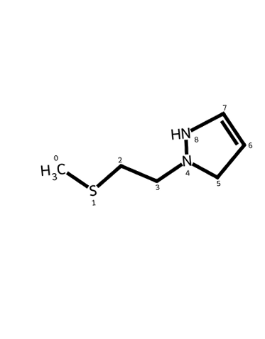 CSCCN1CC=CN1